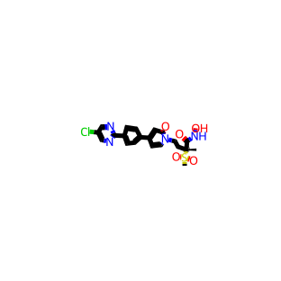 C[C@@](CCn1ccc(-c2ccc(-c3ncc(Cl)cn3)cc2)cc1=O)(C(=O)NO)S(C)(=O)=O